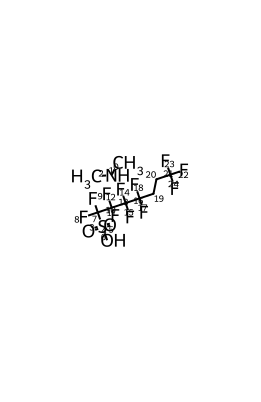 CNC.O=S(=O)(O)C(F)(F)C(F)(F)C(F)(F)C(F)(F)CCC(F)(F)F